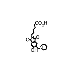 O=C(O)CCCCCN1C(=O)c2cc(O)c(CN3CCCCC3)cc2C1=O